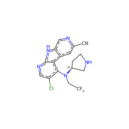 N#Cc1cc2c(cn1)[nH]c1ncc(Cl)c(N(CC(F)(F)F)[C@H]3CCNC3)c12